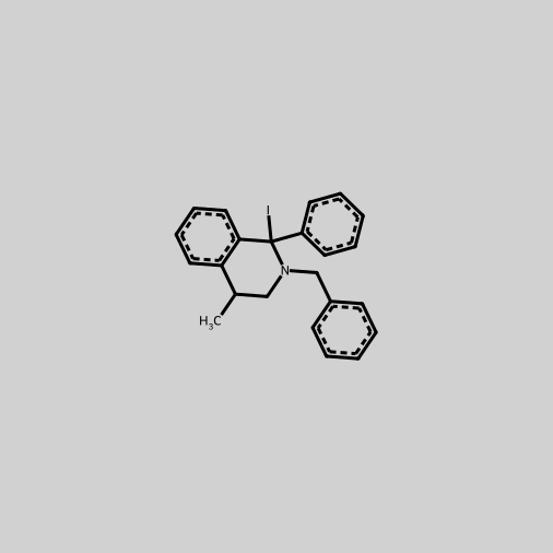 CC1CN(Cc2ccccc2)C(I)(c2ccccc2)c2ccccc21